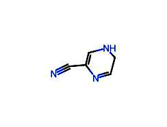 N#CC1=CNCC=N1